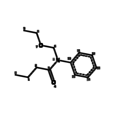 CCCC(=O)N(COCC)c1ccccc1